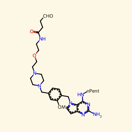 CCCCCNc1nc(N)nc2ccn(Cc3ccc(CN4CCN(CCOCCNC(=O)CCC=O)CC4)cc3OC)c12